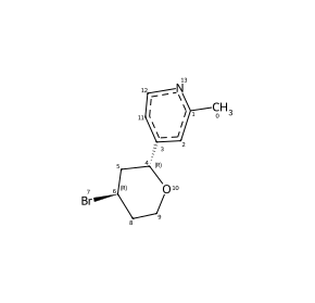 Cc1cc([C@H]2C[C@H](Br)CCO2)ccn1